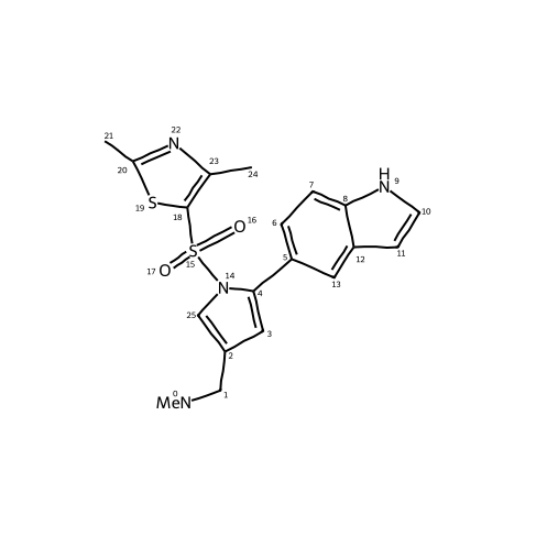 CNCc1cc(-c2ccc3[nH]ccc3c2)n(S(=O)(=O)c2sc(C)nc2C)c1